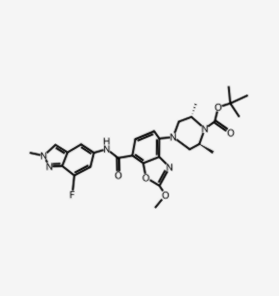 COc1nc2c(N3C[C@H](C)N(C(=O)OC(C)(C)C)[C@@H](C)C3)ccc(C(=O)Nc3cc(F)c4nn(C)cc4c3)c2o1